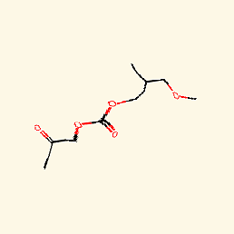 COCC(C)COC(=O)OCC(C)=O